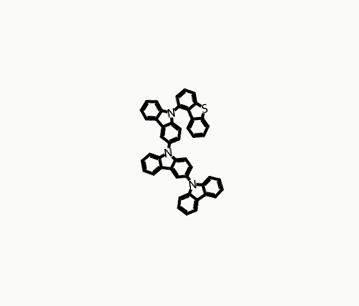 c1ccc2c(c1)sc1cccc(-n3c4ccccc4c4cc(-n5c6ccccc6c6cc(-n7c8ccccc8c8ccccc87)ccc65)ccc43)c12